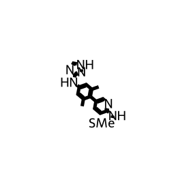 CSNc1ccc(-c2c(C)cc(Nc3nc[nH]n3)cc2C)cn1